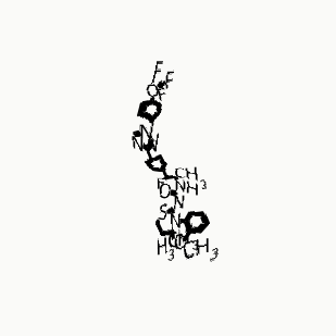 CC(C)c1ccccc1N1/C(=N/C(=O)NC(C)C(F)c2ccc(-c3ncn(-c4ccc(OC(F)(F)F)cc4)n3)cc2)SCCC1C